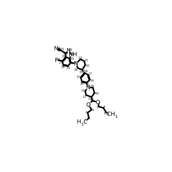 CCCCOC(OCCCC)C1CCN(c2ccc([C@@H]3CCCN(c4ccc(F)c5c(C#N)n[nH]c45)C3)cc2)CC1